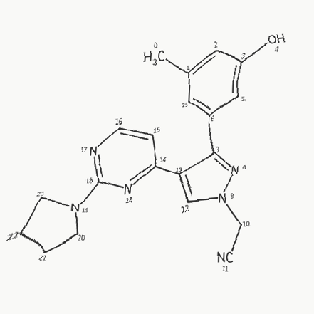 Cc1cc(O)cc(-c2nn(CC#N)cc2-c2ccnc(N3CCCC3)n2)c1